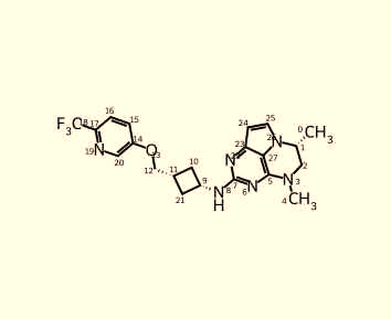 C[C@@H]1CN(C)c2nc(N[C@H]3C[C@@H](COc4ccc(C(F)(F)F)nc4)C3)nc3ccn1c23